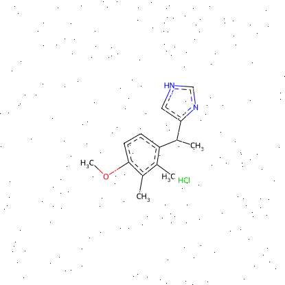 COc1ccc(C(C)c2c[nH]cn2)c(C)c1C.Cl